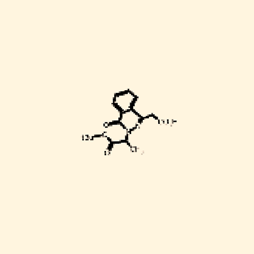 CC(C(=O)OC(C)(C)C)n1nc(CC(=O)O)c2ccccc2c1=O